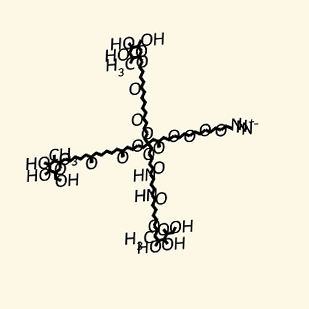 CC1C(OCCCCC(=O)CCCCCC(=O)CCOCC(COCCC(=O)CCCCCC(=O)CCCCOC2OC(CO)C(O)C(O)C2C)(COCCC(=O)NCCCNC(=O)CCCCOC2OC(CO)C(O)C(O)C2C)CC(=O)CCOCCOCCOCCOCCN=[N+]=[N-])OC(CO)C(O)C1O